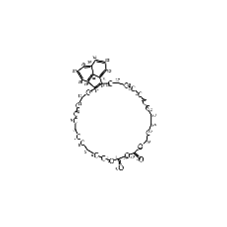 O=C1OCCCCCCCCCCCC2=C(CCCCCCCCCCCOC(=O)O1)c1cccc3cccc2c13